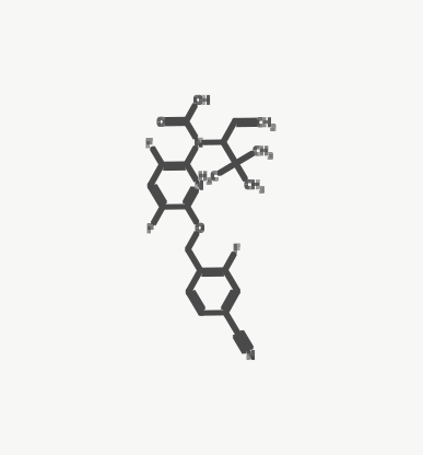 C=CC(N(C(=O)O)c1nc(OCc2ccc(C#N)cc2F)c(F)cc1F)C(C)(C)C